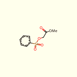 COC(=O)COS(=O)(=O)c1ccccc1